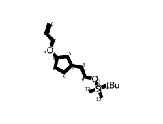 C=CCOC1CCC(CCO[Si](C)(C)C(C)(C)C)C1